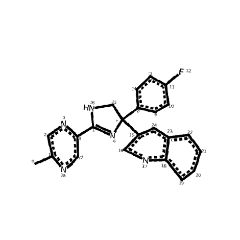 Cc1cnc(C2=NC(c3ccc(F)cc3)(c3cnc4ccccc4c3)CN2)cn1